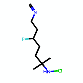 C=NCCC(F)CCC(C)(C)NCl